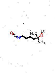 CCO[Si](C)(C)CCCCN=C=O